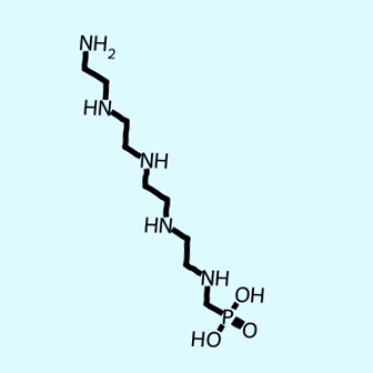 NCCNCCNCCNCCNCP(=O)(O)O